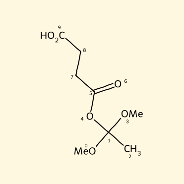 COC(C)(OC)OC(=O)CCC(=O)O